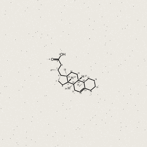 C[C@H](CC(=O)O)[C@H]1CC[C@H]2[C@@H]3CC=C4CCCC[C@]4(C)[C@H]3CC[C@]12C